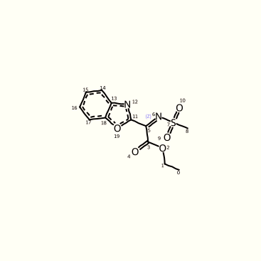 CCOC(=O)/C(=N\S(C)(=O)=O)c1nc2ccccc2o1